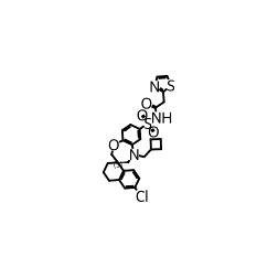 O=C(Cc1nccs1)NS(=O)(=O)c1ccc2c(c1)N(CC1CCC1)C[C@@]1(CCCc3cc(Cl)ccc31)CO2